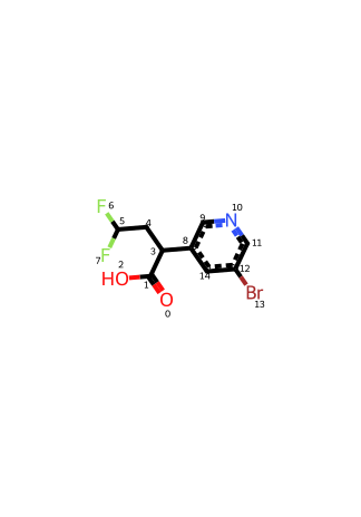 O=C(O)C(CC(F)F)c1cncc(Br)c1